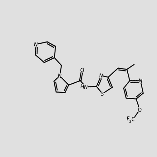 CC(=Cc1csc(NC(=O)c2cccn2Cc2ccncc2)n1)c1ccc(OC(F)(F)F)cn1